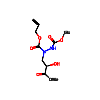 C=CCOC(=O)N(C[C@@H](O)C(=O)OC)NC(=O)OC(C)(C)C